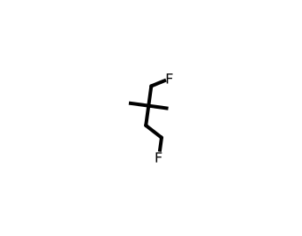 CC(C)(CF)CCF